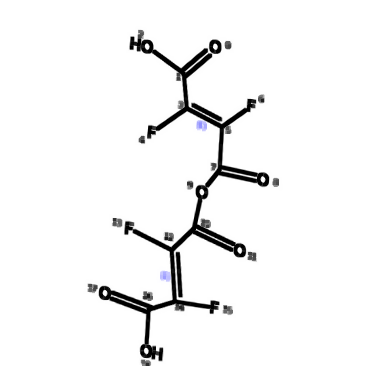 O=C(O)/C(F)=C(\F)C(=O)OC(=O)/C(F)=C(\F)C(=O)O